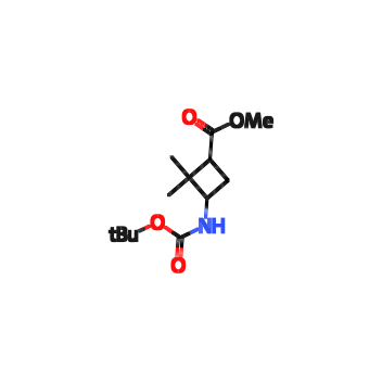 COC(=O)C1CC(NC(=O)OC(C)(C)C)C1(C)C